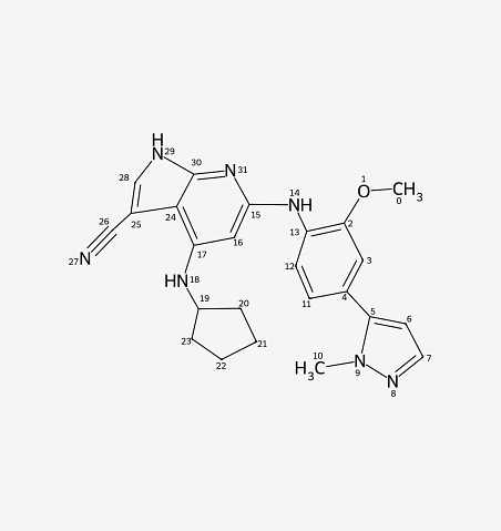 COc1cc(-c2ccnn2C)ccc1Nc1cc(NC2CCCC2)c2c(C#N)c[nH]c2n1